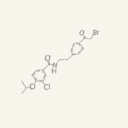 CC(C)Oc1ccc(C(=O)NCCc2ccc(C(=O)CBr)cc2)cc1Cl